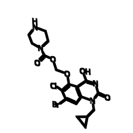 O=C(OCOc1c(Cl)c(Br)cc2c1c(O)nc(=O)n2CC1CC1)N1CCNCC1